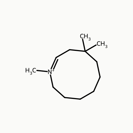 C/[N+]1=C/CC(C)(C)CCCCCC1